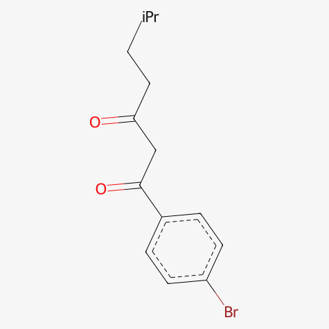 CC(C)CCC(=O)CC(=O)c1ccc(Br)cc1